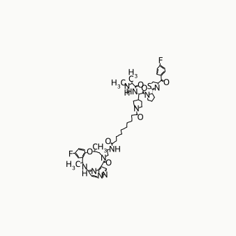 CN[C@@H](C)C(=O)N[C@H](C(=O)N1CCC[C@H]1C1=NC(C(=O)c2ccc(F)cc2)CS1)C1CCN(C(=O)CCCCCCCCC(=O)NCCN2C[C@H](C)Oc3ccc(F)cc3C(C)Nc3ccn4ncc(c4n3)C2=O)CC1